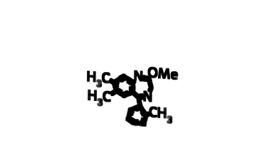 COC1=Nc2cc(C)c(C)cc2C(c2ccccc2C)=NC1